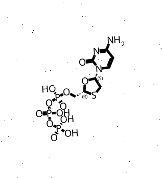 Nc1ccn([C@@H]2CS[C@H](COP(=O)(O)OP(=O)(O)OP(=O)(O)O)O2)c(=O)n1